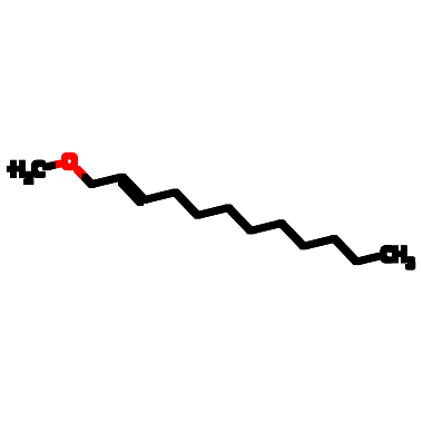 [CH2]OCC=CCCCCCCCCC